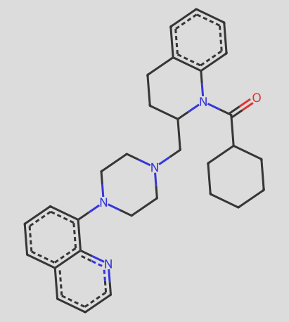 O=C(C1CCCCC1)N1c2ccccc2CCC1CN1CCN(c2cccc3cccnc23)CC1